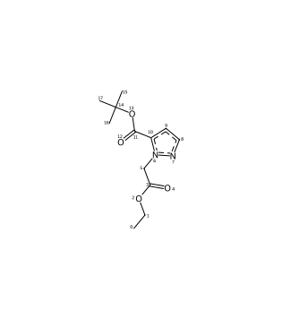 CCOC(=O)Cn1nccc1C(=O)OC(C)(C)C